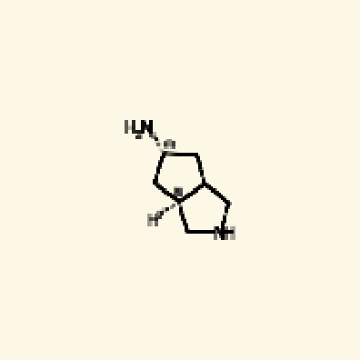 N[C@@H]1CC2CNC[C@H]2C1